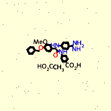 CC(=O)O.COc1cc(C(Nc2ccc(C(=N)N)cc2)C(=O)Nc2ccc(C(=O)O)cc2)ccc1OCc1ccccc1